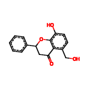 O=C1CC(c2ccccc2)Oc2c(O)ccc(CO)c21